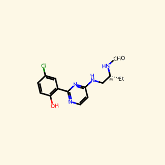 CC[C@H](CNc1ccnc(-c2cc(Cl)ccc2O)n1)NC=O